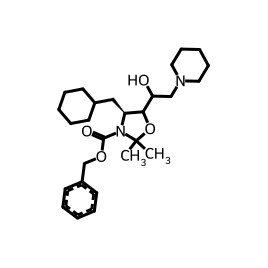 CC1(C)OC(C(O)CN2CCCCC2)[C@H](CC2CCCCC2)N1C(=O)OCc1ccccc1